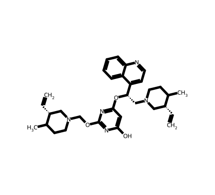 C=C[C@@H]1CN(COc2nc(O)cc(O[C@@H](CN3CCC(C)[C@H](C=C)C3)c3ccnc4ccccc34)n2)CCC1C